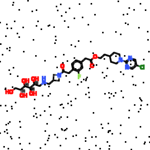 O=C(Cc1ccc(CC(=O)N2CC(CNC[C@H](O)[C@@H](O)[C@H](O)[C@H](O)CO)C2)c(F)c1)OCCC1CCN(c2ncc(Cl)cn2)CC1